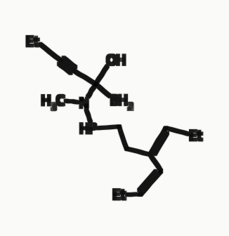 BC(O)(C#CCC)N(C)PCCC(/C=C\CC)=C/CC